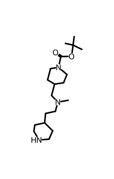 CN(CCC1CCNCC1)CC1CCN(C(=O)OC(C)(C)C)CC1